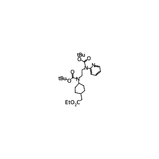 CCOC(=O)CC1CCC(N(CCN(C(=O)OC(C)(C)C)c2ccccn2)C(=O)OC(C)(C)C)CC1